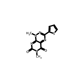 Cn1nc(-c2cccs2)nc2c(=O)n(C)c(=O)nc1-2